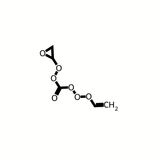 C=COOOC(=O)OOC1CO1